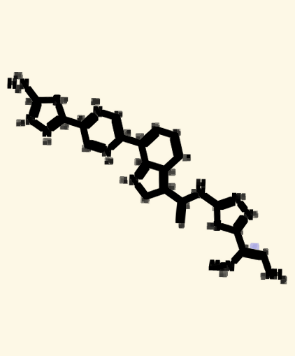 C=C(Nc1nnc(/C(=C/N)NC)s1)C1=c2cccc(-c3cnc(-c4nnc(N)s4)cn3)c2=NC1